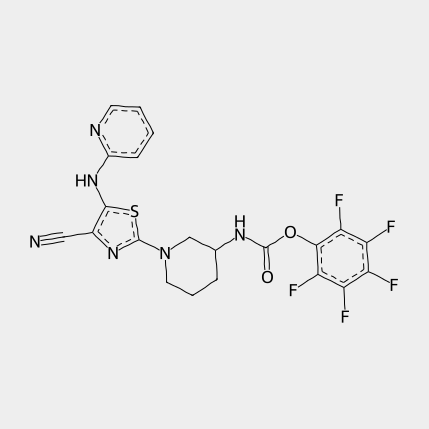 N#Cc1nc(N2CCCC(NC(=O)Oc3c(F)c(F)c(F)c(F)c3F)C2)sc1Nc1ccccn1